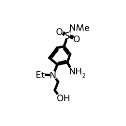 CCN(CCO)c1ccc(S(=O)(=O)NC)cc1N